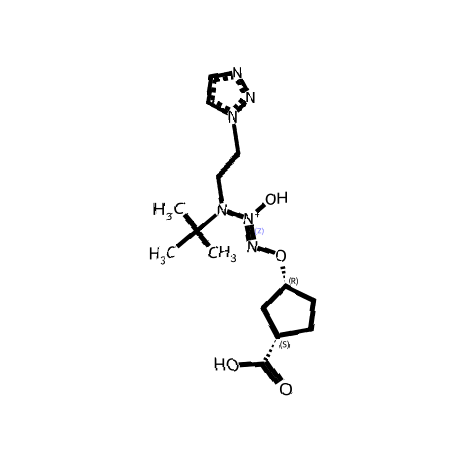 CC(C)(C)N(CCn1ccnn1)/[N+](O)=N/O[C@@H]1CC[C@H](C(=O)O)C1